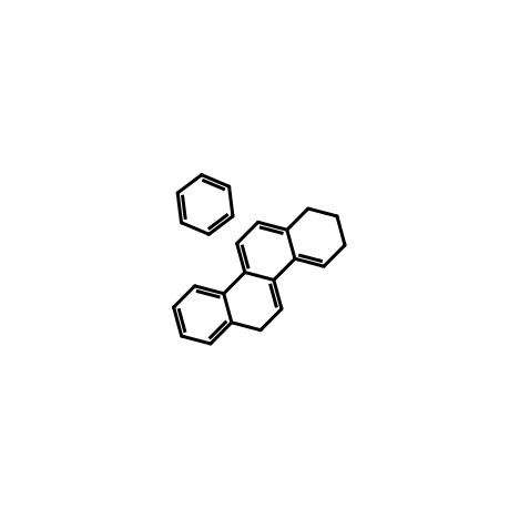 C1=c2c(ccc3c2=CCc2ccccc2-3)CCC1.c1ccccc1